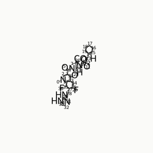 Cn1cc(C(=O)NCC(NC(=O)OCc2ccccc2)C(=O)O)c(=O)c2cc(F)c(CNC3=NCCN3)c(F)c21